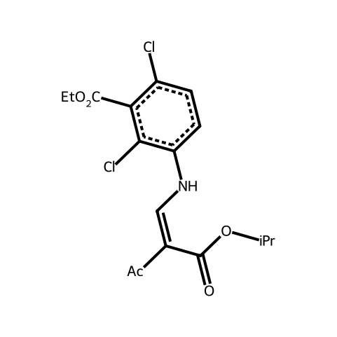 CCOC(=O)c1c(Cl)ccc(NC=C(C(C)=O)C(=O)OC(C)C)c1Cl